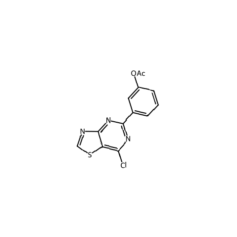 CC(=O)Oc1cccc(-c2nc(Cl)c3scnc3n2)c1